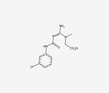 CCOC(=O)CN(C)/C(N)=N\C(=O)Nc1cccc(Cl)c1